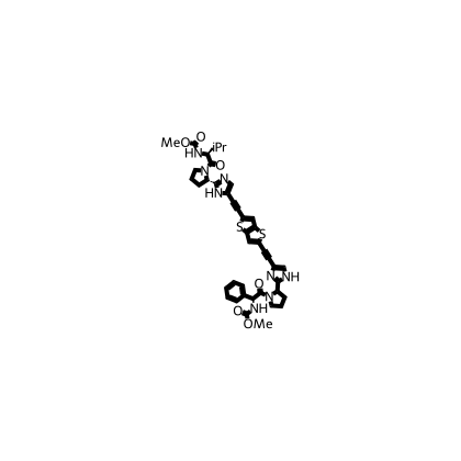 COC(=O)N[C@H](C(=O)N1CCC[C@H]1c1ncc(C#Cc2cc3sc(C#Cc4c[nH]c(C5CCCN5C(=O)[C@H](NC(=O)OC)c5ccccc5)n4)cc3s2)[nH]1)C(C)C